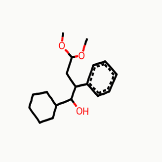 COC(CC(c1ccccc1)C(O)C1CCCCC1)OC